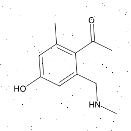 CNCc1cc(O)cc(C)c1C(C)=O